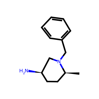 C[C@H]1CC[C@@H](N)CN1Cc1ccccc1